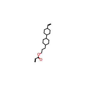 C=CC(=O)OCCCC1CCC(C2CCC(C=C)CC2)CC1